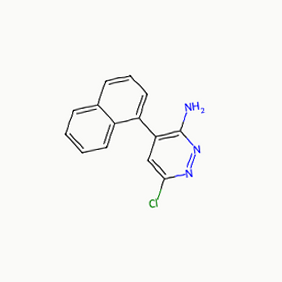 Nc1nnc(Cl)cc1-c1cccc2ccccc12